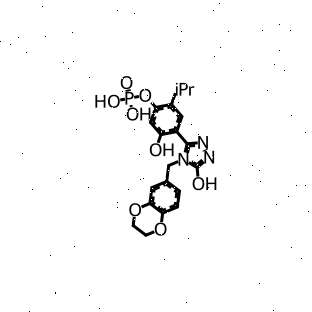 CC(C)c1cc(-c2nnc(O)n2Cc2ccc3c(c2)OCCO3)c(O)cc1OP(=O)(O)O